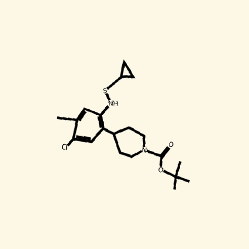 Cc1cc(NSC2CC2)c(C2CCN(C(=O)OC(C)(C)C)CC2)cc1Cl